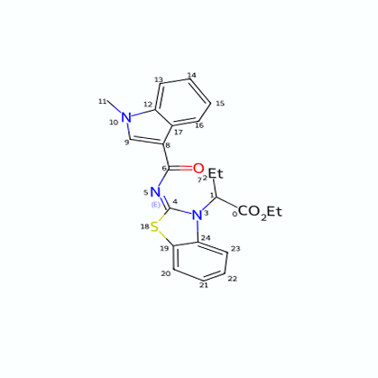 CCOC(=O)C(CC)n1/c(=N\C(=O)c2cn(C)c3ccccc23)sc2ccccc21